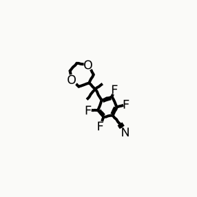 CC(C)(c1c(F)c(F)c(C#N)c(F)c1F)C1COCCOC1